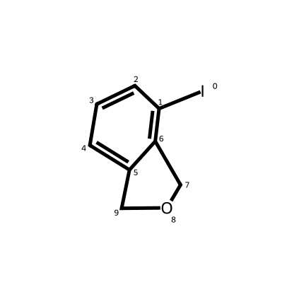 Ic1cccc2c1COC2